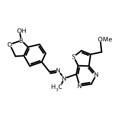 COCc1csc2c(N(C)/N=C/c3ccc4c(c3)COB4O)ncnc12